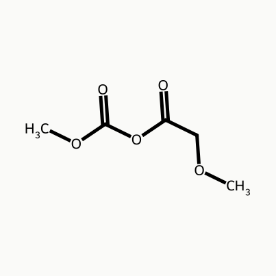 COCC(=O)OC(=O)OC